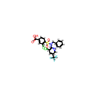 O=C(O)c1ccc(S(=O)(=O)N(Cc2ccccc2)c2ncc(C(F)(F)F)cc2Cl)c(Cl)c1